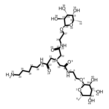 C[C@@H]1O[C@@H](OCCNC(=O)CN(CC(=O)NCCCCCN)CC(=O)NCCO[C@@H]2O[C@@H](C)[C@@H](O)[C@@H](O)[C@@H]2O)[C@@H](O)[C@H](O)[C@@H]1O